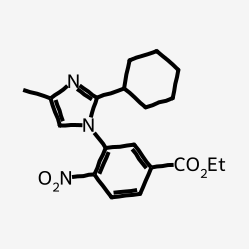 CCOC(=O)c1ccc([N+](=O)[O-])c(-n2cc(C)nc2C2CCCCC2)c1